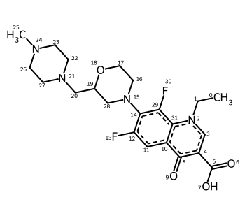 CCn1cc(C(=O)O)c(=O)c2cc(F)c(N3CCOC(CN4CCN(C)CC4)C3)c(F)c21